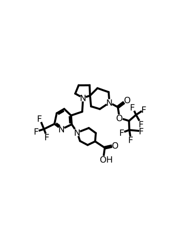 O=C(O)C1CCN(c2nc(C(F)(F)F)ccc2CN2CCCC23CCN(C(=O)OC(C(F)(F)F)C(F)(F)F)CC3)CC1